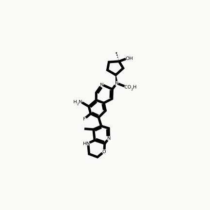 Cc1c(-c2cc3cc(N(C(=O)O)[C@H]4CC[C@@](C)(O)C4)ncc3c(N)c2F)cnc2c1NCCO2